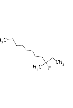 CCCCCCCCC(C)(F)CC